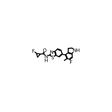 Cc1c(F)cc2c(c1-c1ccc3nc(NC(=O)C4CC4F)sc3c1)CCN2